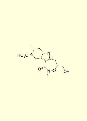 C[C@@H]1Cc2nn3c(c2CN1C(=O)O)C(=O)N(C)OC(CO)C3